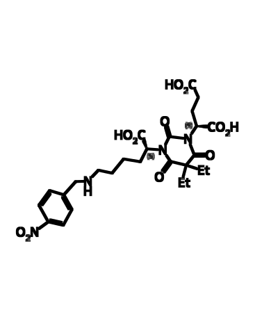 CCC1(CC)C(=O)N([C@@H](CCCCNCc2ccc([N+](=O)[O-])cc2)C(=O)O)C(=O)N([C@@H](CCC(=O)O)C(=O)O)C1=O